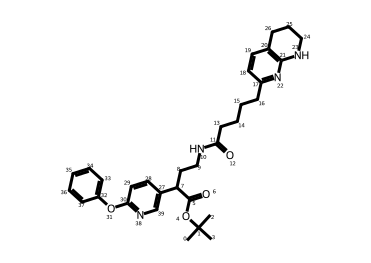 CC(C)(C)OC(=O)C(CCNC(=O)CCCCc1ccc2c(n1)NCCC2)c1ccc(Oc2ccccc2)nc1